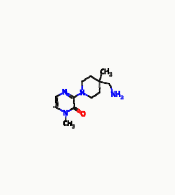 Cn1[c]cnc(N2CCC(C)(CN)CC2)c1=O